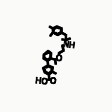 Cc1ccc(CC(C)(C)NCCCOC(C)c2ccccc2-c2ccc(C(=O)O)c(C)c2)cc1C